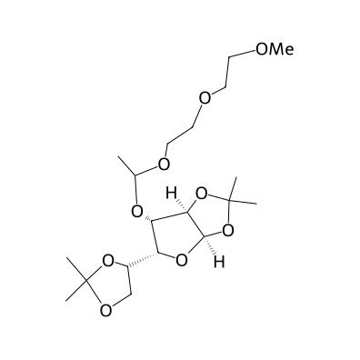 COCCOCCOC(C)O[C@@H]1[C@H]2OC(C)(C)O[C@H]2O[C@@H]1C1COC(C)(C)O1